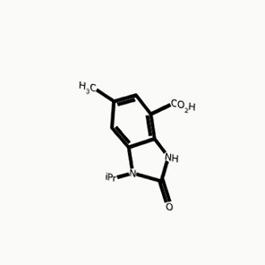 Cc1cc(C(=O)O)c2[nH]c(=O)n(C(C)C)c2c1